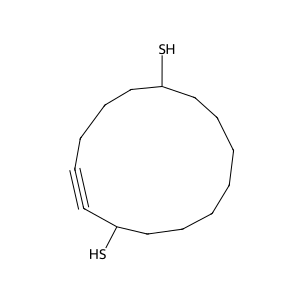 SC1C#CCCCC(S)CCCCCCC1